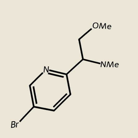 CNC(COC)c1ccc(Br)cn1